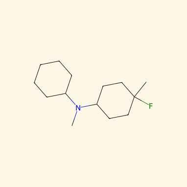 CN(C1CCCCC1)C1CCC(C)(F)CC1